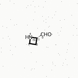 O=[C][C@@H]1CCN1